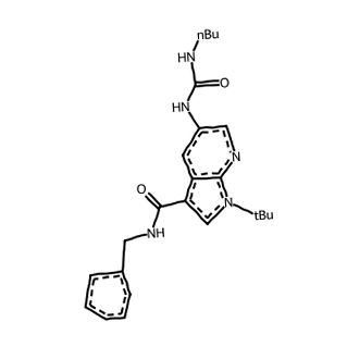 CCCCNC(=O)Nc1cnc2c(c1)c(C(=O)NCc1ccccc1)cn2C(C)(C)C